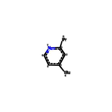 CC(C)c1cc(C(C)(C)C)ccn1